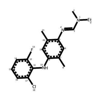 CCN(C)C=Nc1cc(C)c(Nc2c(F)cccc2Cl)cc1C